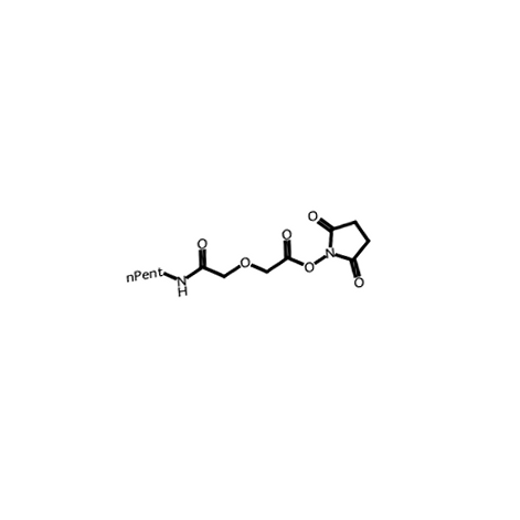 CCCCCNC(=O)COCC(=O)ON1C(=O)CCC1=O